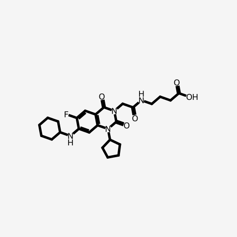 O=C(O)CCCNC(=O)Cn1c(=O)c2cc(F)c(NC3CCCCC3)cc2n(C2CCCC2)c1=O